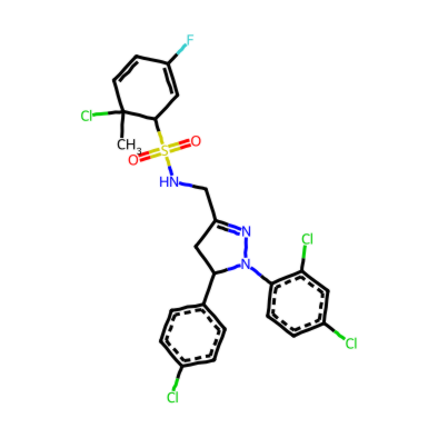 CC1(Cl)C=CC(F)=CC1S(=O)(=O)NCC1=NN(c2ccc(Cl)cc2Cl)C(c2ccc(Cl)cc2)C1